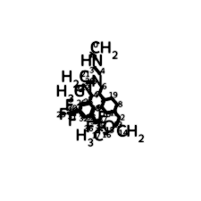 C=CNCCN(CCC1CCC(CC(=C)OCC)CC1)C(=C)N(C)Cc1cc(C(F)(F)F)cc(C(F)(F)F)c1